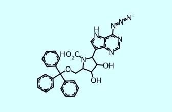 [N-]=[N+]=Nc1ncnc2c(C3C(O)C(O)C(COC(c4ccccc4)(c4ccccc4)c4ccccc4)N3C(=O)O)c[nH]c12